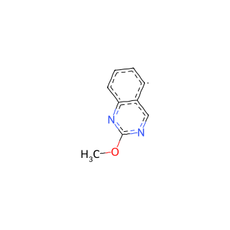 COc1ncc2[c]cccc2n1